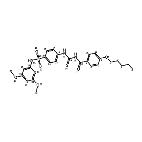 CCCCCOc1ccc(C(=O)NC(=S)Nc2ccc(S(=O)(=O)Nc3cc(OC)nc(OC)n3)cc2)cc1